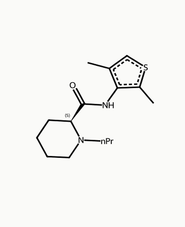 CCCN1CCCC[C@H]1C(=O)Nc1c(C)csc1C